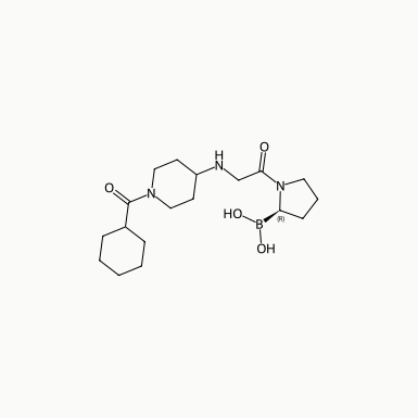 O=C(C1CCCCC1)N1CCC(NCC(=O)N2CCC[C@H]2B(O)O)CC1